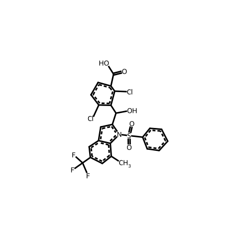 Cc1cc(C(F)(F)F)cc2cc(C(O)c3c(Cl)ccc(C(=O)O)c3Cl)n(S(=O)(=O)c3ccccc3)c12